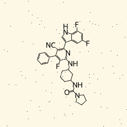 N#Cc1c(-c2c[nH]c3c(F)cc(F)cc23)nc(NC2CCCC(NC(=O)N3CCCC3)C2)c(F)c1-c1ccccc1